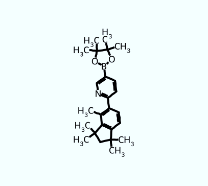 Cc1c(-c2ccc(B3OC(C)(C)C(C)(C)O3)cn2)ccc2c1C(C)(C)CC2(C)C